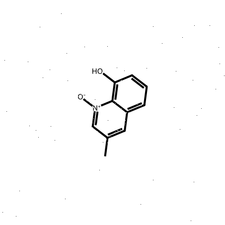 Cc1cc2cccc(O)c2[n+]([O-])c1